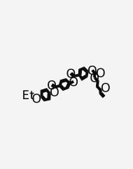 C=CC(=O)CCOC(=O)Oc1ccc(C(=O)Oc2ccc(C(=O)Oc3ccc(OCC)cc3)cc2)cc1